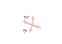 O=S(=O)([O-])[O-].[Pd+2].[Pd]